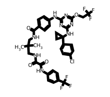 CC(C)(CNC(=O)C(=O)Nc1ccc(C(F)(F)F)cc1)CNC(=O)c1ccc(Nc2nc(NC3(c4ccc(Cl)cc4)CC3)nc(OCC(F)(F)F)n2)cc1